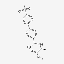 C[C@H](N[C@@H](c1ccc(-c2ccc(S(C)(=O)=O)cc2)cc1)C(F)(F)F)C(N)=O